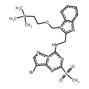 C[Si](C)(C)CCOCn1c(CNc2nc(S(C)(=O)=O)nc3c(Br)cnn23)nc2ccccc21